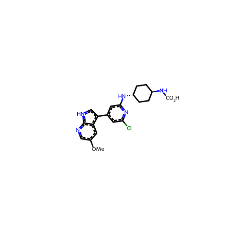 COc1cnc2[nH]cc(-c3cc(Cl)nc(N[C@H]4CC[C@H](NC(=O)O)CC4)c3)c2c1